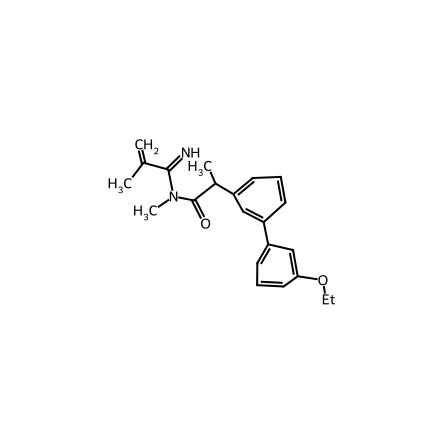 C=C(C)C(=N)N(C)C(=O)C(C)c1cccc(-c2cccc(OCC)c2)c1